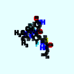 CC1CN(c2cc(F)c(-c3csc(C(=O)NCC4CC4)n3)cc2NC(=O)c2c[nH]c(=O)cc2C(F)(F)F)CC(C)N1C